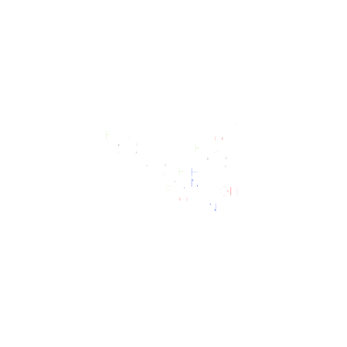 O=C(NC(CN1CCCC1)C(O)c1ccc(OC2CC2)c(F)c1)C(F)(F)c1ccc(-c2ccc(F)cc2)cc1